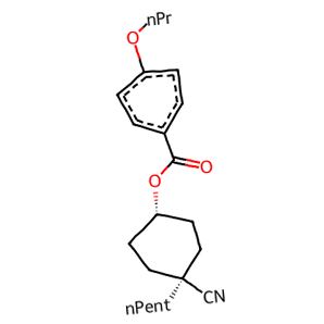 CCCCC[C@]1(C#N)CC[C@H](OC(=O)c2ccc(OCCC)cc2)CC1